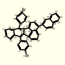 Brc1ccc(C23OC(c4ccc(Br)cc4)(c4ccccc42)C2c4ccc(-c5ccc6ccccc6c5)c5cccc(c45)C23)cc1